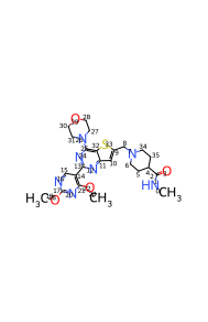 CNC(=O)C1CCN(Cc2cc3nc(-c4cnc(OC)nc4OC)nc(N4CCOCC4)c3s2)CC1